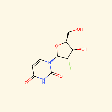 O=c1ccn([C@H]2O[C@@H](CO)[C@@H](O)[C@@H]2F)c(=O)[nH]1